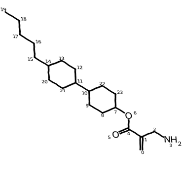 C=C(CN)C(=O)OC1CCC(C2CCC(CCCCC)CC2)CC1